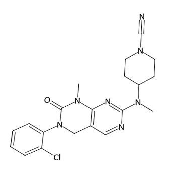 CN1C(=O)N(c2ccccc2Cl)Cc2cnc(N(C)C3CCN(C#N)CC3)nc21